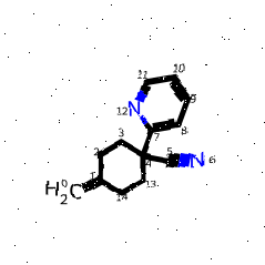 C=C1CCC(C#N)(c2ccccn2)CC1